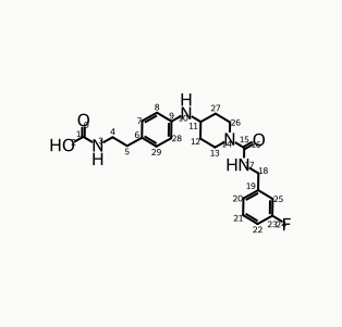 O=C(O)NCCc1ccc(NC2CCN(C(=O)NCc3cccc(F)c3)CC2)cc1